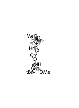 COC[C@H]1C[C@@H](c2ncc(-c3ccc4c(c3)COc3cc5c(ccc6nc(C7C[C@H](C)CN7C(=O)[C@@H](NC(=O)OC)C(C)C)[nH]c65)cc3-4)[nH]2)N(C(=O)OC(C)(C)C)C1